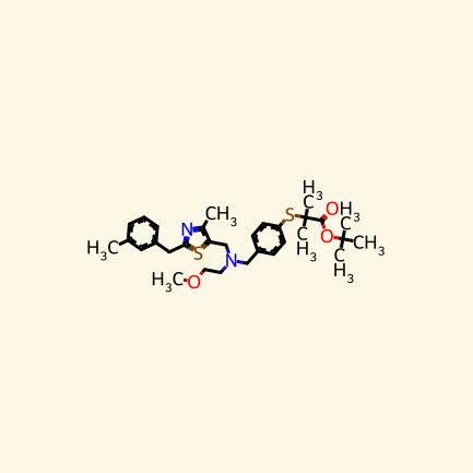 COCCN(Cc1ccc(SC(C)(C)C(=O)OC(C)(C)C)cc1)Cc1sc(Cc2cccc(C)c2)nc1C